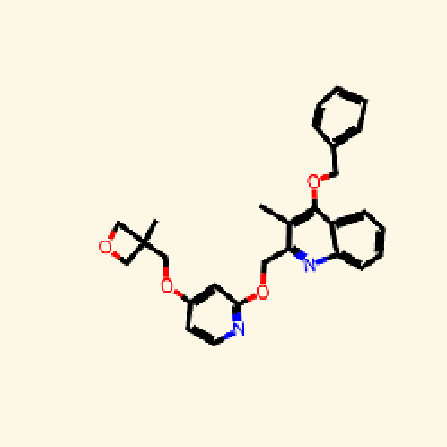 Cc1c(COc2cc(OCC3(C)COC3)ccn2)nc2ccccc2c1OCc1ccccc1